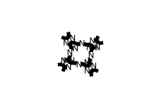 Cc1nc2c(nc1C)-c1nc-2nc2[nH]c(nc3[n+](I)c(nc4[nH]c(n1)c1nc(C)c(C)nc41)-c1nc(C)c(C)nc1-3)c1nc(C)c(C)nc21